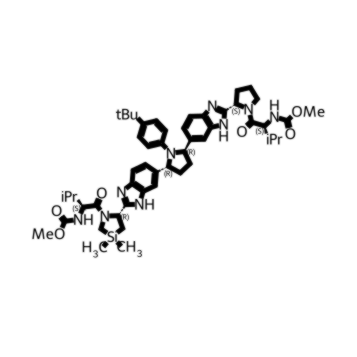 COC(=O)N[C@H](C(=O)N1CCC[C@H]1c1nc2ccc([C@H]3CC[C@H](c4ccc5nc([C@@H]6C[Si](C)(C)CN6C(=O)[C@@H](NC(=O)OC)C(C)C)[nH]c5c4)N3c3ccc(C(C)(C)C)cc3)cc2[nH]1)C(C)C